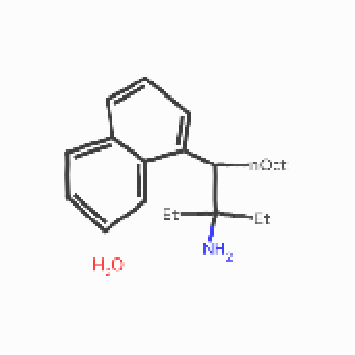 CCCCCCCCC(c1cccc2ccccc12)C(N)(CC)CC.O